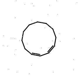 [C]1=CC=CCCCCCCCC1